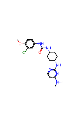 COc1ccc(NC(=O)N[C@H]2CC[C@@H](Nc3nccc(N(C)C)n3)CC2)cc1Cl